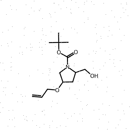 C=CCOC1CC(CO)N(C(=O)OC(C)(C)C)C1